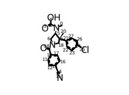 CN(C(=O)O)[C@@H]1CN(C(=O)c2ccc(C#N)cc2)C[C@@]1(C)c1ccc(Cl)cc1